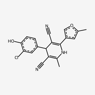 CC1=C(C#N)C(c2ccc(O)c(Cl)c2)C(C#N)=C(c2coc(C)c2)N1